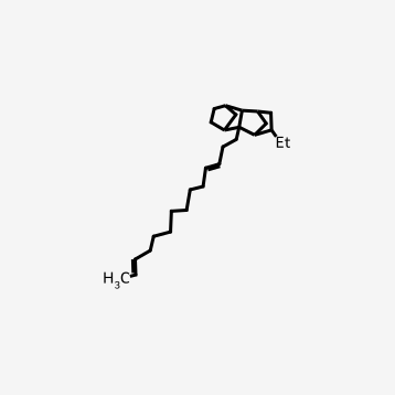 CC=CCCCCCCCC=CCCC12C3CCC(C3)C1C1CC(CC)C2C1